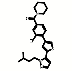 CC(C)CCn1nccc1-c1cc(-c2ccc(C(=O)N3CCCCC3)cc2Cl)cs1